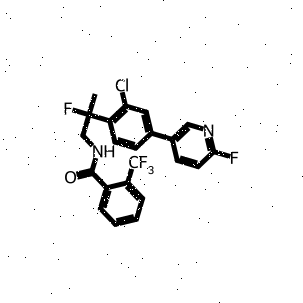 CC(F)(CNC(=O)c1ccccc1C(F)(F)F)c1ccc(-c2ccc(F)nc2)cc1Cl